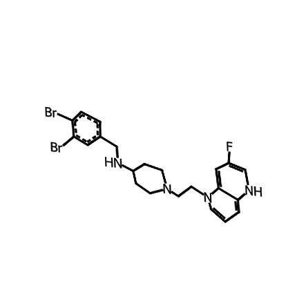 FC1=CNC2=CC=CN(CCN3CCC(NCc4ccc(Br)c(Br)c4)CC3)C2=C1